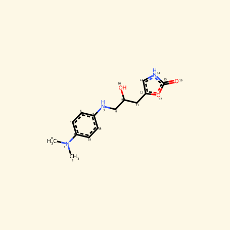 CN(C)c1ccc(NCC(O)Cc2c[nH]c(=O)o2)cc1